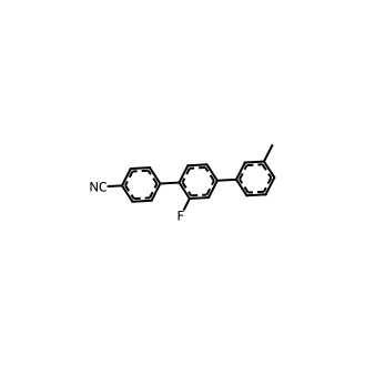 Cc1cccc(-c2ccc(-c3ccc(C#N)cc3)c(F)c2)c1